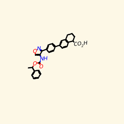 CC(OC(=O)Nc1conc1-c1ccc(-c2ccc3c(c2)CCCC3C(=O)O)cc1)c1ccccc1